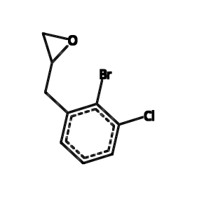 Clc1cccc(CC2CO2)c1Br